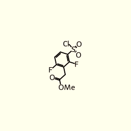 COC(=O)Cc1c(F)ccc(S(=O)(=O)Cl)c1F